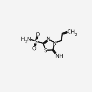 C=CCn1nc(S(N)(=O)=O)sc1=N